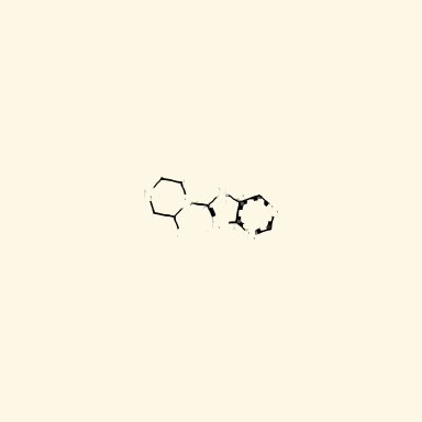 CC1CNCCN1C1=[N+]c2ncncc2N1